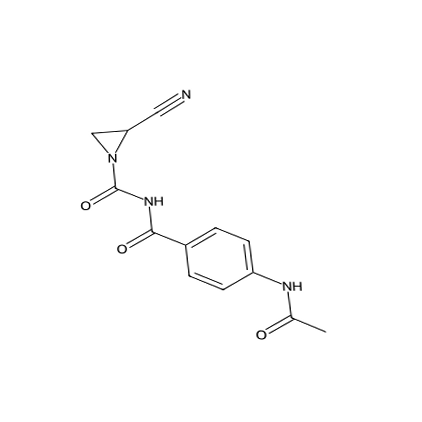 CC(=O)Nc1ccc(C(=O)NC(=O)N2CC2C#N)cc1